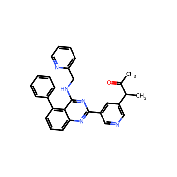 CC(=O)C(C)c1cncc(-c2nc(NCc3ccccn3)c3c(-c4ccccc4)cccc3n2)c1